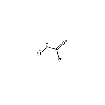 CCNC(=O)Br